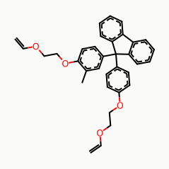 C=COCCOc1ccc(C2(c3ccc(OCCOC=C)c(C)c3)c3ccccc3-c3ccccc32)cc1